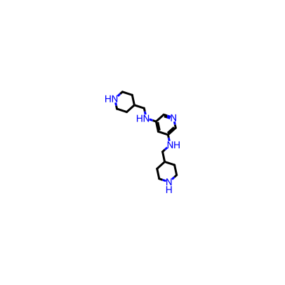 c1ncc(NCC2CCNCC2)cc1NCC1CCNCC1